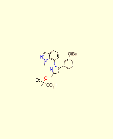 CCC(C)(OCc1cc(-c2cccc(OCC(C)C)c2)n(-c2cccc3cnn(C)c23)n1)C(=O)O